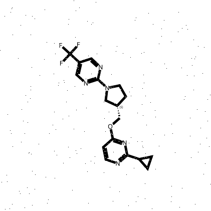 FC(F)(F)c1cnc(N2CC[C@H](COc3ccnc(C4CC4)n3)C2)nc1